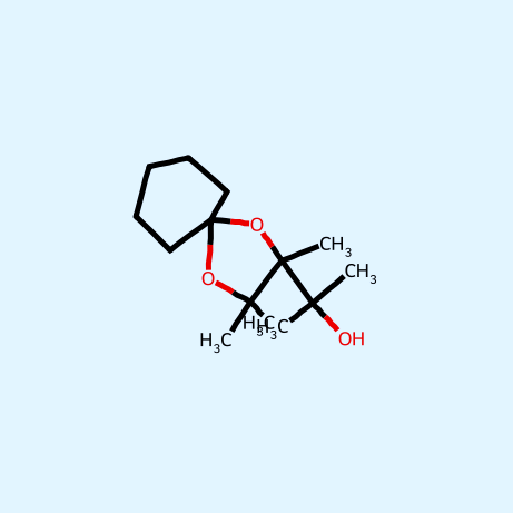 CC(C)(O)C1(C)OC2(CCCCC2)OC1(C)C